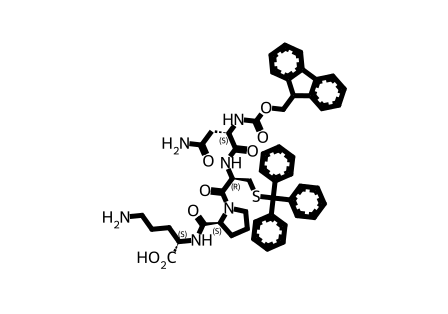 NCCC[C@H](NC(=O)[C@@H]1CCCN1C(=O)[C@H](CSC(c1ccccc1)(c1ccccc1)c1ccccc1)NC(=O)[C@H](CC(N)=O)NC(=O)OCC1c2ccccc2-c2ccccc21)C(=O)O